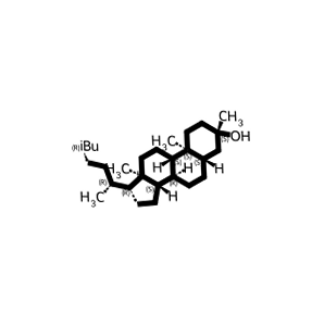 CC[C@@H](C)CC[C@@H](C)[C@H]1CC[C@H]2[C@@H]3CC[C@H]4C[C@@](C)(O)CC[C@]4(C)[C@H]3CC[C@]12C